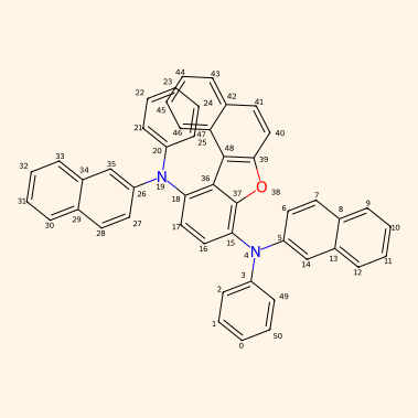 c1ccc(N(c2ccc3ccccc3c2)c2ccc(N(c3ccccc3)c3ccc4ccccc4c3)c3c2oc2ccc4ccccc4c23)cc1